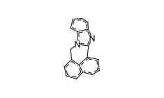 c1cc2c3c(cccc3c1)-c1nc3ccccc3n1C2